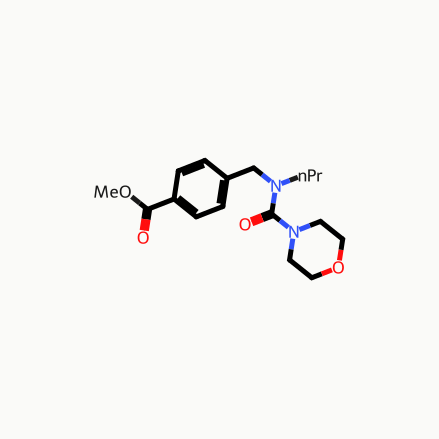 CCCN(Cc1ccc(C(=O)OC)cc1)C(=O)N1CCOCC1